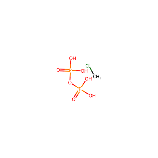 CCl.O=P(O)(O)OP(=O)(O)O